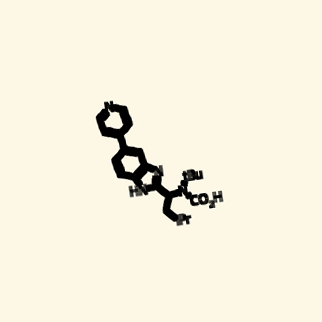 CC(C)CC(c1nc2cc(-c3ccncc3)ccc2[nH]1)N(C(=O)O)C(C)(C)C